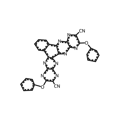 N#Cc1nc2nc3c4ccccc4c4nc5nc(Oc6ccccc6)c(C#N)nc5nc4c3nc2nc1Oc1ccccc1